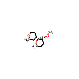 C1CC[SiH2]OC1.C1CC[SiH2]OC1.[SiH3]O[SiH3]